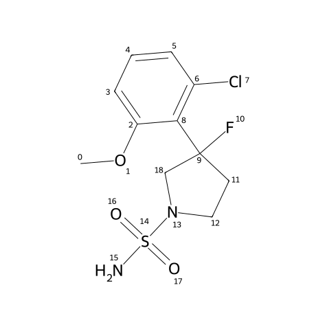 COc1cccc(Cl)c1C1(F)CCN(S(N)(=O)=O)C1